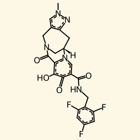 Cn1cc2c(n1)C[C@H]1CN(C2)C(=O)c2c(O)c(=O)c(C(=O)NCc3c(F)cc(F)cc3F)cn21